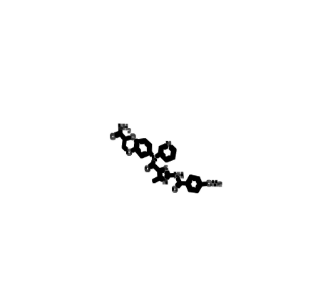 COc1ccc(C(=O)Nc2nc(C)c(C(=O)N(c3cccnc3)c3ccc4c(c3)OCC(C(N)=O)O4)s2)cc1